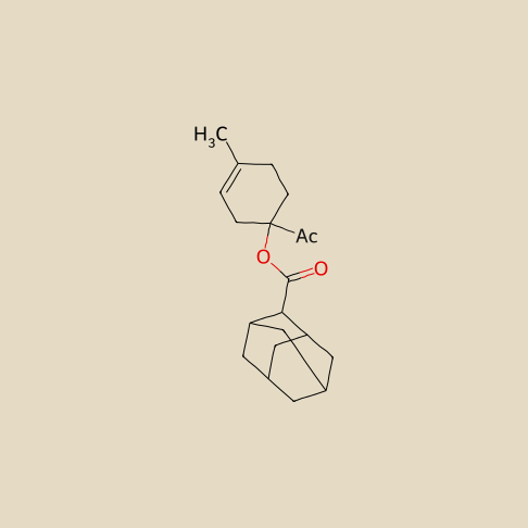 CC(=O)C1(OC(=O)C2C3CC4CC(C3)CC2C4)CC=C(C)CC1